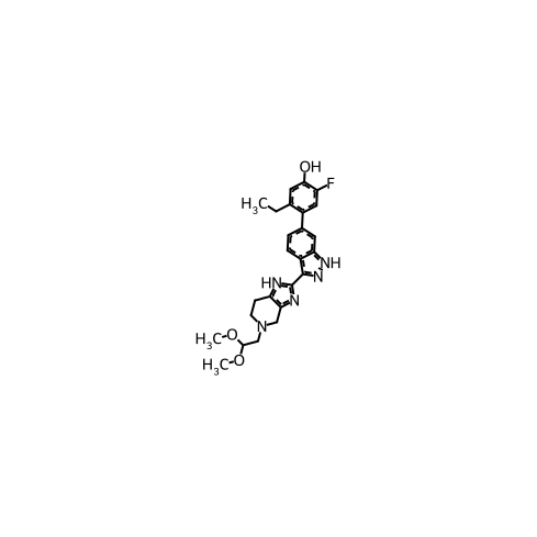 CCc1cc(O)c(F)cc1-c1ccc2c(-c3nc4c([nH]3)CCN(CC(OC)OC)C4)n[nH]c2c1